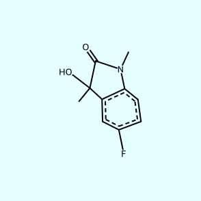 CN1C(=O)C(C)(O)c2cc(F)ccc21